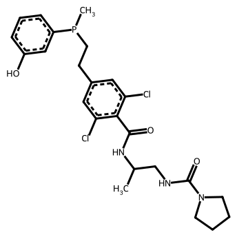 CC(CNC(=O)N1CCCC1)NC(=O)c1c(Cl)cc(CCP(C)c2cccc(O)c2)cc1Cl